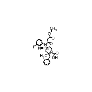 CCOC(=O)CC(=O)N(c1cccc(F)c1)[C@]1(C#N)CCN(C(=O)O)[C@@](C)(Cc2ccccc2)C1